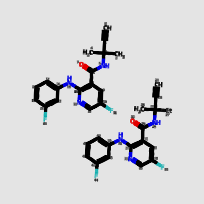 C#CC(C)(C)NC(=O)c1cc(F)cnc1Nc1cccc(F)c1.C#CC(C)(CC)NC(=O)c1cc(F)cnc1Nc1cccc(F)c1